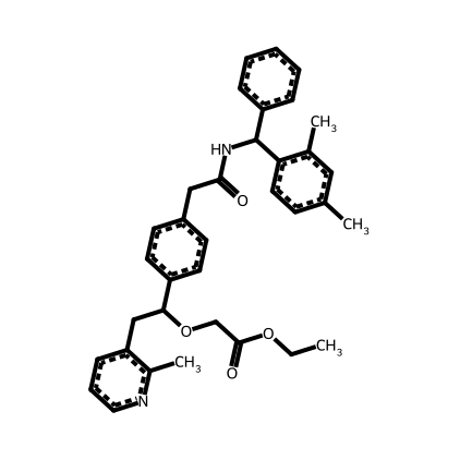 CCOC(=O)COC(Cc1cccnc1C)c1ccc(CC(=O)NC(c2ccccc2)c2ccc(C)cc2C)cc1